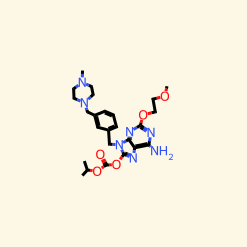 COCCOc1nc(N)c2nc(OC(=O)OC(C)C)n(Cc3cccc(CN4CCN(C)CC4)c3)c2n1